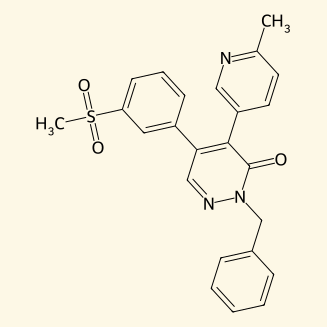 Cc1ccc(-c2c(-c3cccc(S(C)(=O)=O)c3)cnn(Cc3ccccc3)c2=O)cn1